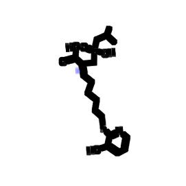 CC(C)CP(=O)(O)C/C(=C\CCCCCSc1ncccc1O)C(=O)O